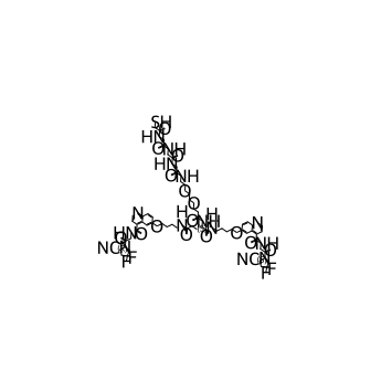 N#C[C@@H]1CC(F)(F)CN1C(=O)CNC(=O)c1ccnc2ccc(OCCCCNC(=O)[C@H](CCC(=O)NCCCCOc3ccc4nccc(C(=O)NCC(=O)N5CC(F)(F)C[C@@H]5C#N)c4c3)NC(=O)CCOCCOCCNC(=O)CNC(=O)CNC(=O)CNC(=O)CS)cc12